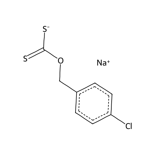 S=C([S-])OCc1ccc(Cl)cc1.[Na+]